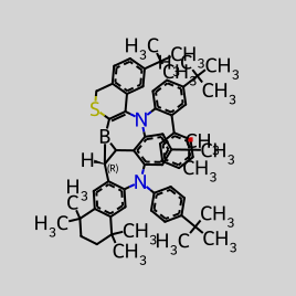 CC(C)(C)c1ccc(N2c3cc4c(cc3[C@@H]3B5C6=C(c7cc(C(C)(C)C)ccc7CS6)N(c6ccc(C(C)(C)C)cc6-c6ccccc6)c6cc(C(C)(C)C)cc2c6C53)C(C)(C)CCC4(C)C)cc1